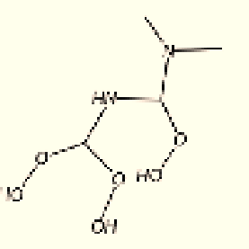 CN(C)C(NC(OO)OO)OO